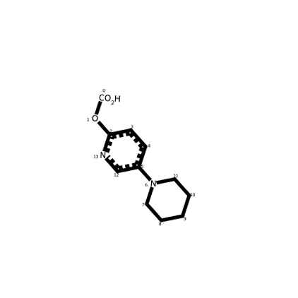 O=C(O)Oc1ccc(N2CCCCC2)cn1